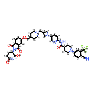 N#Cc1ccc(N2CCC(C(=O)Nc3ccc(N4CC(CN5CCC(COc6ccc7c(c6)C(=O)N(C6CCC(=O)NC6=O)C7=O)CC5)C4)cn3)CC2)cc1C(F)(F)F